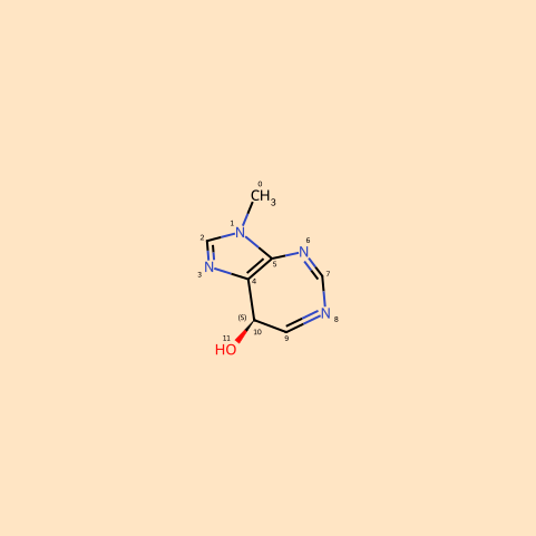 Cn1cnc2c1N=CN=C[C@H]2O